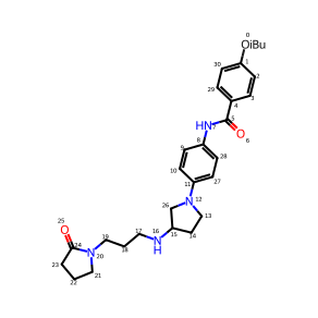 CC(C)COc1ccc(C(=O)Nc2ccc(N3CCC(NCCCN4CCCC4=O)C3)cc2)cc1